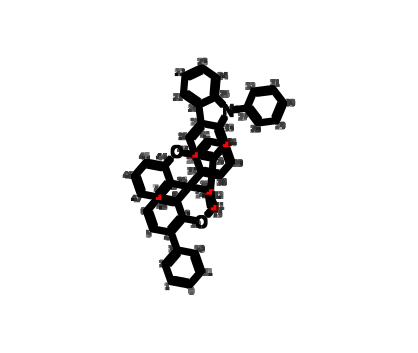 c1ccc(-c2cccc3c2Oc2cccc(-c4ccc5c6ccccc6n(-c6ccccc6)c5c4)c2C32c3ccccc3Oc3ccccc32)cc1